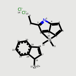 CCC1=NC2=CC=C3C2=C1[Si]3(C)C.[Cl-].[Cl-].[Zr+2][CH]1C=Cc2ccccc21